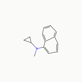 CN(c1cccc2ccccc12)C1CC1